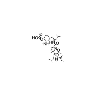 CC[C@H](C)CN(C)C(C[C@@H](OC(C)=O)c1nc(C(=O)N[C@@H](Cc2ccc(OS(=O)O)c(NC)c2)CC(C)C)cs1)C(C)C